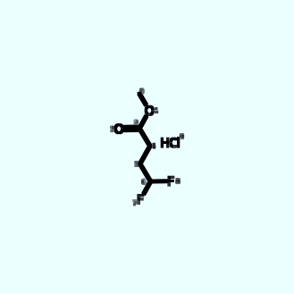 COC(=O)CCC(F)F.Cl